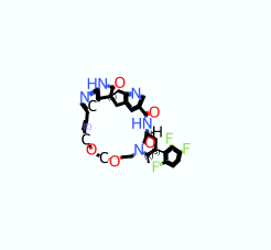 C[C@@H]1[C@H](c2c(F)ccc(F)c2F)C[C@@H]2NC(=O)c3cnc4c(c3)C[C@@]3(C4)C(=O)Nc4ncc(cc43)/C=C/COCCOCCN1C2=O